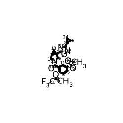 C[C@H](Oc1ccc(S(C)(=O)=O)cc1C(=O)N1CC2CC2(c2nc(C3CC3)no2)C1)C(F)(F)F